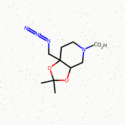 CC1(C)OC2CN(C(=O)O)CCC2(CN=[N+]=[N-])O1